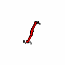 C=C(C)C(=O)OCCCCCCCCCCCCCCCCCCCCOc1ccc(C(=O)Oc2ccc(OC(=O)c3ccc(OCCCCCCCCCCCCCCCCCCCCOC(=O)C(=C)C)cc3)c(F)c2F)cc1